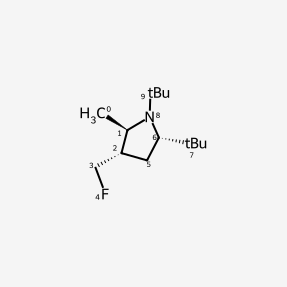 C[C@@H]1[C@@H](CF)C[C@@H](C(C)(C)C)N1C(C)(C)C